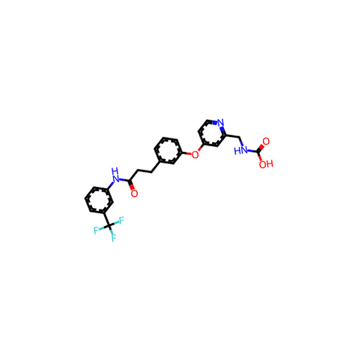 O=C(O)NCc1cc(Oc2cccc(CCC(=O)Nc3cccc(C(F)(F)F)c3)c2)ccn1